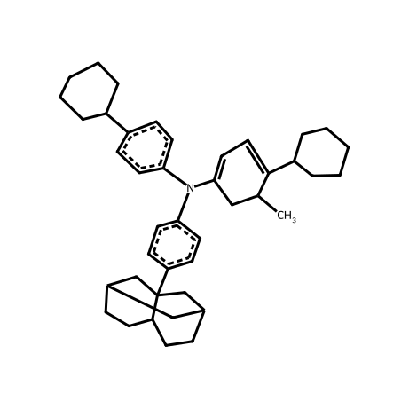 CC1CC(N(c2ccc(C3CCCCC3)cc2)c2ccc(C34CC5CCC3CCC(C5)C4)cc2)=CC=C1C1CCCCC1